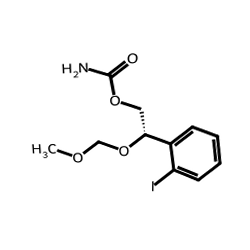 COCO[C@H](COC(N)=O)c1ccccc1I